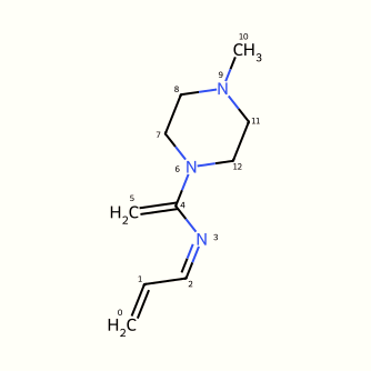 C=C/C=N\C(=C)N1CCN(C)CC1